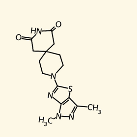 Cc1nn(C)c2nc(N3CCC4(CC3)CC(=O)NC(=O)C4)sc12